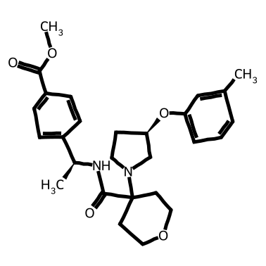 COC(=O)c1ccc([C@H](C)NC(=O)C2(N3CC[C@@H](Oc4cccc(C)c4)C3)CCOCC2)cc1